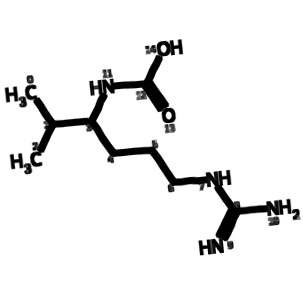 CC(C)C(CCCNC(=N)N)NC(=O)O